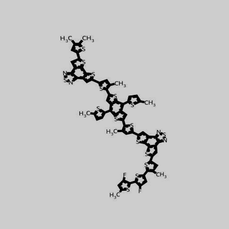 Cc1ccc(-c2c3cc(-c4sc(-c5cc6c7nsnc7c7cc(-c8cc(C)c(-c9cc(F)c(-c%10sc(C)cc%10F)s9)s8)sc7c6s5)cc4C)sc3c(-c3ccc(C)s3)c3cc(-c4sc(-c5cc6c7nsnc7c7cc(-c8cc(C)c(C)s8)sc7c6s5)cc4C)sc23)s1